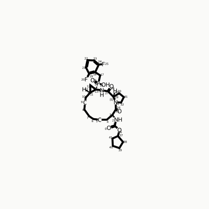 O=C(N[C@H]1CCCCCCC[C@@H]2C[C@@]2(P(=O)(O)Cc2c(F)cccc2F)NC(=O)[C@@H]2CCCN2C1=O)OC1CCCC1